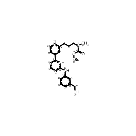 CN(CCCc1cc(-c2ncnc(Nc3cccc(CO)c3)n2)ccn1)C(=O)OC(C)(C)C